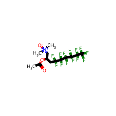 CC(=O)OC(CC(F)(F)C(F)(F)C(F)(F)C(F)(F)C(F)(F)C(F)(F)F)C[N+](C)(C)[O-]